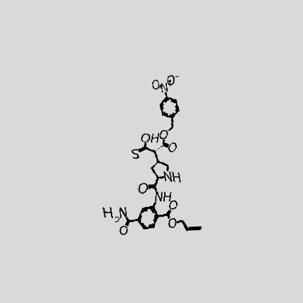 C=CCOC(=O)c1ccc(C(N)=O)cc1NC(=O)C1C[C@@H]([C@@H](C(=O)OCc2ccc([N+](=O)[O-])cc2)C(O)=S)CN1